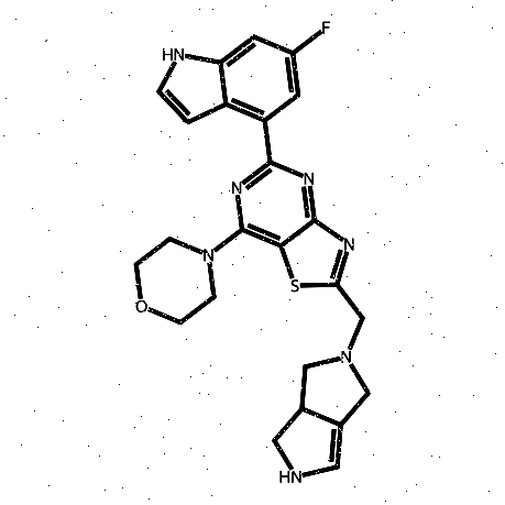 Fc1cc(-c2nc(N3CCOCC3)c3sc(CN4CC5=CNCC5C4)nc3n2)c2cc[nH]c2c1